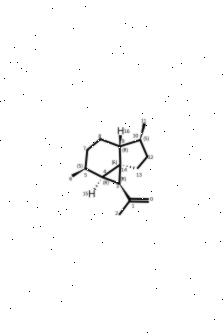 C=C(C)[C@H]1[C@H]2[C@@H](C)CC[C@@H]3[C@@H](C)CC[C@]231